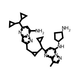 Cc1cnn2c(N[C@H]3CC[C@H](N)C3)cc(C(C3CC3)C3CC3Cc3cc4nc(C(C5CC5)C5CC5)cc(N)n4n3)nc12